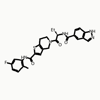 CC[C@@H](NC(=O)c1ccc2[nH]ncc2c1)C(=O)N1CCc2sc(C(=O)Nc3cc(F)ccc3C)cc2C1